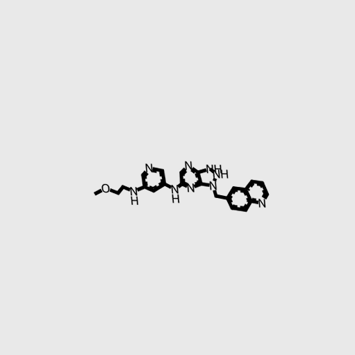 COCCNc1cncc(Nc2cnc3c(n2)N(Cc2ccc4ncccc4c2)NN3)c1